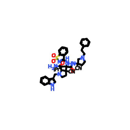 CC(C)CC(NC1=NS(=O)(=O)c2ccccc21)(C(=O)NC1(C#N)CCN(CCc2ccccc2)C1)C1(C#N)CCN(Cc2c[nH]c3ccccc23)C1C(N)=O